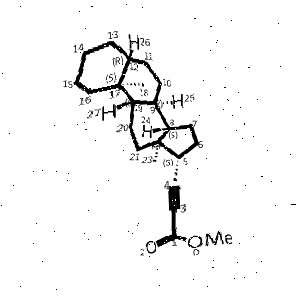 COC(=O)C#C[C@H]1CC[C@H]2[C@@H]3CC[C@H]4CCCC[C@]4(C)[C@H]3CC[C@]12C